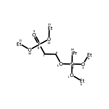 CCO[Si](OCC)(OCCP(=O)(OCC)OCC)C(C)C